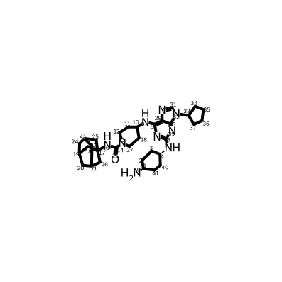 N[C@H]1CC[C@H](Nc2nc(NC3CCN(C(=O)NC45CC6CC(CC(C6)C4)C5)CC3)c3ncn(C4CCCC4)c3n2)CC1